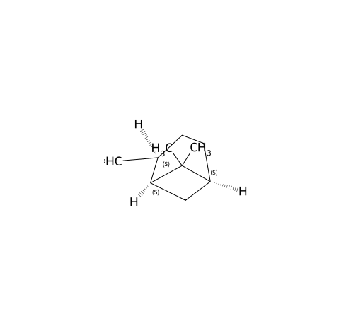 [CH][C@H]1CC[C@H]2C[C@@H]1C2(C)C